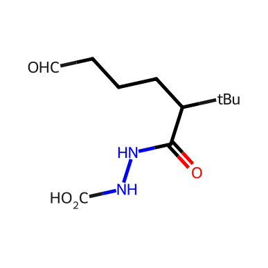 CC(C)(C)C(CCCC=O)C(=O)NNC(=O)O